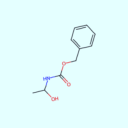 C[C](O)NC(=O)OCc1ccccc1